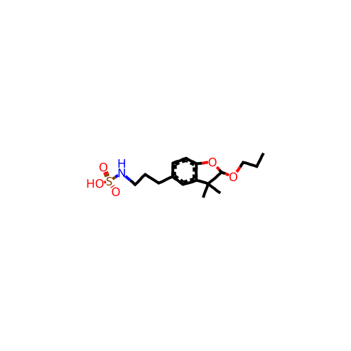 CCCOC1Oc2ccc(CCCNS(=O)(=O)O)cc2C1(C)C